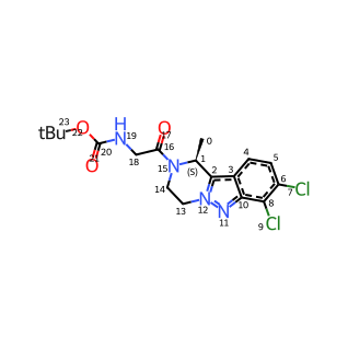 C[C@H]1c2c3ccc(Cl)c(Cl)c3nn2CCN1C(=O)CNC(=O)OC(C)(C)C